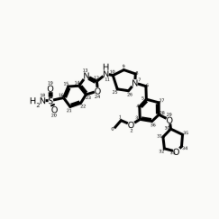 CCOc1cc(CN2CCC(Nc3nc4cc(S(N)(=O)=O)ccc4o3)CC2)cc(OC2CCOCC2)c1